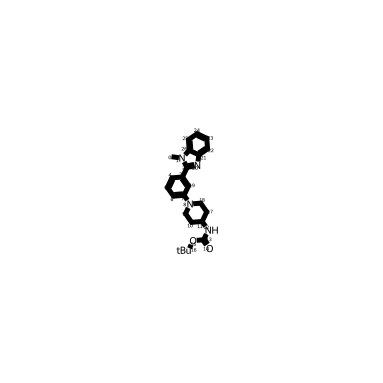 Cn1c(-c2cccc(N3CCC(NC(=O)OC(C)(C)C)CC3)c2)nc2ccccc21